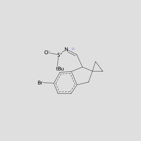 CC(C)(C)[S+]([O-])/N=C\C1c2cc(Br)ccc2CC12CC2